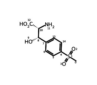 CS(=O)(=O)c1ccc([C@H](O)[C@@H](N)C(=O)O)cc1